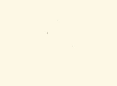 CC(c1cccc(F)c1)(c1cccc2cccnc12)C1CNCC[N]1